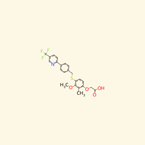 COc1c(SCc2ccc(-c3ccc(C(F)(F)F)cn3)cc2)ccc(OCC(=O)O)c1C